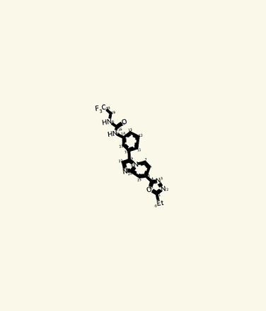 CCc1nnc(-c2ccn3c(-c4cccc(NC(=O)NCC(F)(F)F)c4)cnc3c2)o1